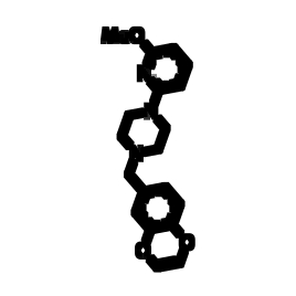 COc1cccc(N2CCN(Cc3ccc4c(c3)OC=CO4)CC2)n1